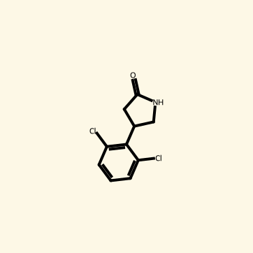 O=C1CC(c2c(Cl)cccc2Cl)CN1